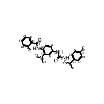 CC(SNC(=O)Nc1ccc(NC(=O)c2ccccc2F)c(N(C)C)c1)c1ccc(F)cc1